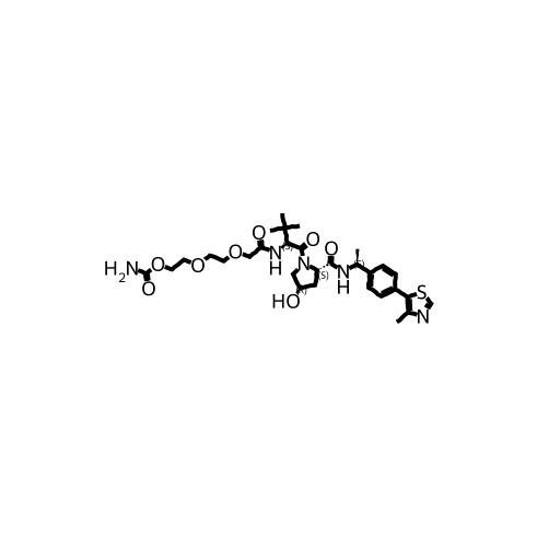 Cc1ncsc1-c1ccc([C@H](C)NC(=O)[C@@H]2C[C@@H](O)CN2C(=O)[C@@H](NC(=O)COCCOCCOC(N)=O)C(C)(C)C)cc1